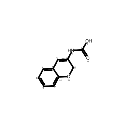 O=C(O)NC1=Cc2ccccc2OC1